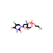 N#CCCOP1(=O)OC[C@H]2O[C@@H](n3cc(F)c(=O)[nH]c3=O)C[C@@H]2O1